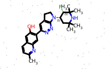 Cc1ccc2cc(O)c(-c3cc4c(nn3)N([C@H]3CC(C)(C)NC(C)(C)[C@H]3F)CC4)cc2n1